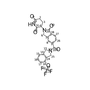 O=C1CCC(N2Cc3cc(C(=O)N4Cc5cccc(OC(F)(F)F)c5C4)ccc3C2=O)C(=O)N1